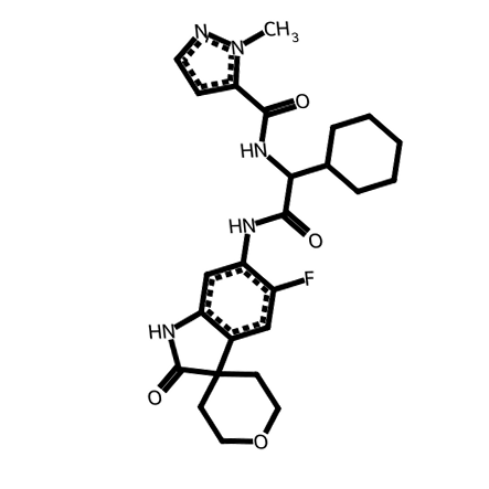 Cn1nccc1C(=O)NC(C(=O)Nc1cc2c(cc1F)C1(CCOCC1)C(=O)N2)C1CCCCC1